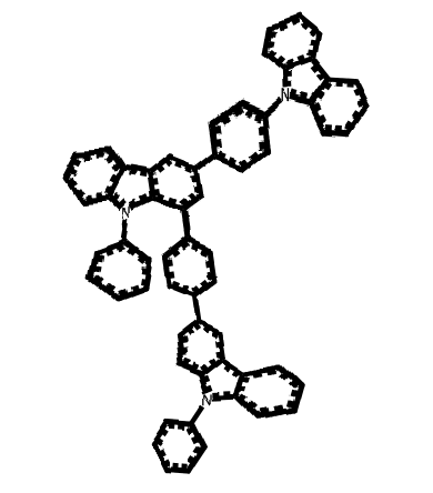 c1ccc(-n2c3ccccc3c3cc(-c4ccc(-c5cc(-c6ccc(-n7c8ccccc8c8ccccc87)cc6)cc6c7ccccc7n(-c7ccccc7)c56)cc4)ccc32)cc1